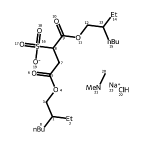 CCCCC(CC)COC(=O)CC(C(=O)OCC(CC)CCCC)S(=O)(=O)[O-].CNC.Cl.[Na+]